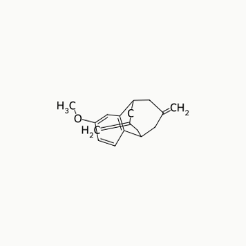 C=C1CC2CC(=C)CC(C1)c1cc(OC)ccc12